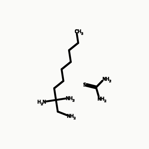 CCCCCCCC(N)(N)CN.NC(N)=S